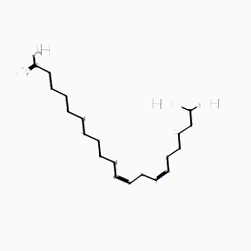 CC(C)CCCC/C=C\C/C=C\CCCCCCCCCC(=O)O